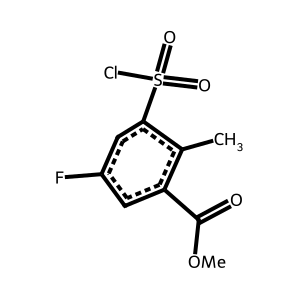 COC(=O)c1cc(F)cc(S(=O)(=O)Cl)c1C